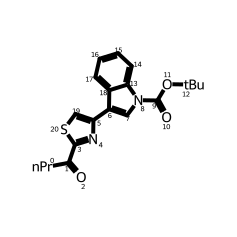 CCCC(=O)c1nc(-c2cn(C(=O)OC(C)(C)C)c3ccccc23)cs1